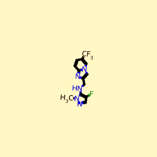 Cn1ncc(F)c1NCc1cn2cc(C(F)(F)F)ccc2n1